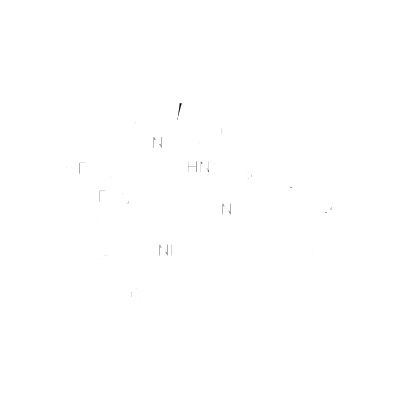 C[C@@H](C(=O)Nc1nc2cc3c(cc2s1)CCC3)N1CCC(F)(F)[C@@H](c2ccc(=O)[nH]c2)C1